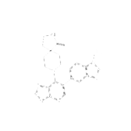 Cn1cnc2cc(-c3cnc4[nH]cnc4c3N3CCC4(CCNC4=O)CC3)ccc21